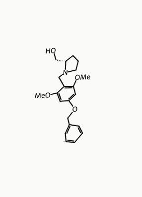 COc1cc(OCc2c[c]ccc2)cc(OC)c1CN1CCC[C@H]1CO